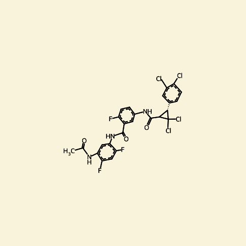 CC(=O)Nc1cc(NC(=O)c2cc(NC(=O)C3[C@H](c4ccc(Cl)c(Cl)c4)C3(Cl)Cl)ccc2F)c(F)cc1F